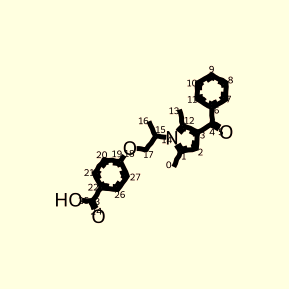 Cc1cc(C(=O)c2ccccc2)c(C)n1C(C)COc1ccc(C(=O)O)cc1